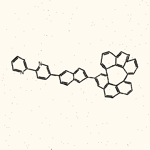 c1ccc(-c2ccc(-c3ccc4cc(-c5cc6ccc7cccc8c9cccc%10ccc%11cccc(c(c5)c6c78)c%11c%109)ccc4c3)cn2)nc1